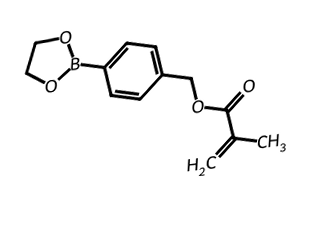 C=C(C)C(=O)OCc1ccc(B2OCCO2)cc1